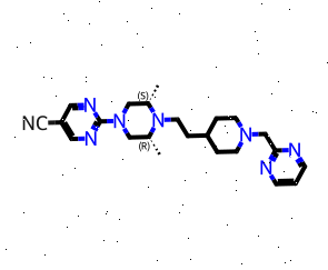 C[C@@H]1CN(c2ncc(C#N)cn2)C[C@H](C)N1CCC1CCN(Cc2ncccn2)CC1